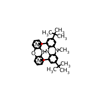 CN1c2cc(C(C)(C)C)cc(C#N)c2N(B2c3ccccc3Oc3ccccc32)c2c(C#N)cc(C(C)(C)C)cc21